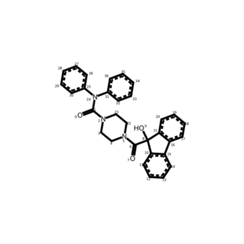 O=C(N1CCN(C(=O)C2(O)c3ccccc3-c3ccccc32)CC1)N(c1ccccc1)c1ccccc1